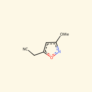 COc1cc(CC#N)on1